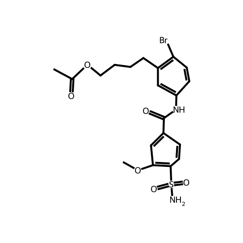 COc1cc(C(=O)Nc2ccc(Br)c(CCCCOC(C)=O)c2)ccc1S(N)(=O)=O